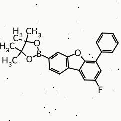 CC1(C)OB(c2ccc3c(c2)oc2c(-c4ccccc4)cc(F)cc23)OC1(C)C